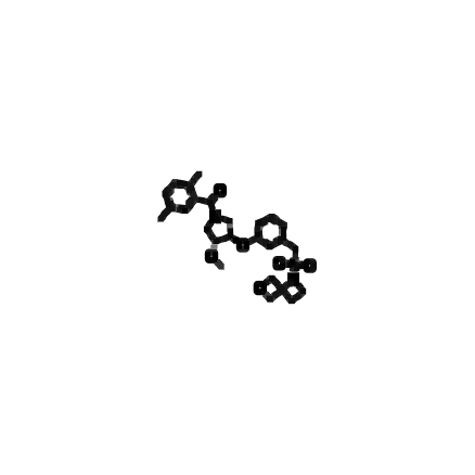 CO[C@@H]1CN(C(=O)c2cc(C)ccc2C)C[C@H]1Oc1cccc(CS(=O)(=O)N2CCC23COC3)c1